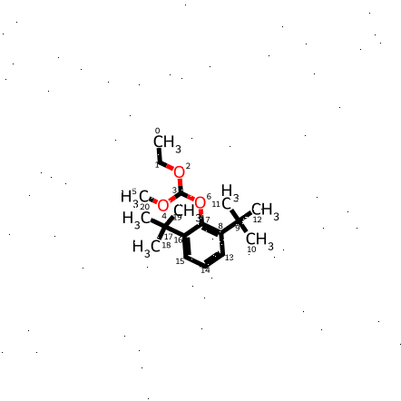 CCOC(OC)Oc1c(C(C)(C)C)c[c]cc1C(C)(C)C